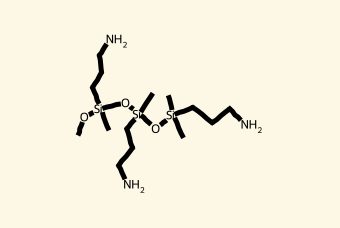 CO[Si](C)(CCCN)O[Si](C)(CCCN)O[Si](C)(C)CCCN